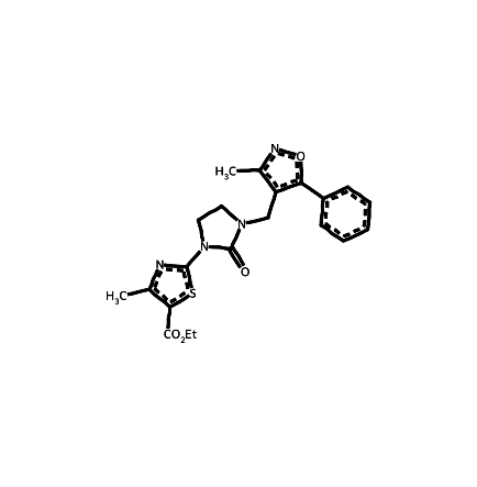 CCOC(=O)c1sc(N2CCN(Cc3c(C)noc3-c3ccccc3)C2=O)nc1C